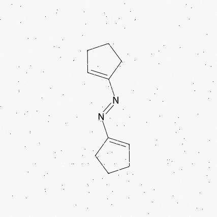 C1=C(N=NC2=CCCC2)CCC1